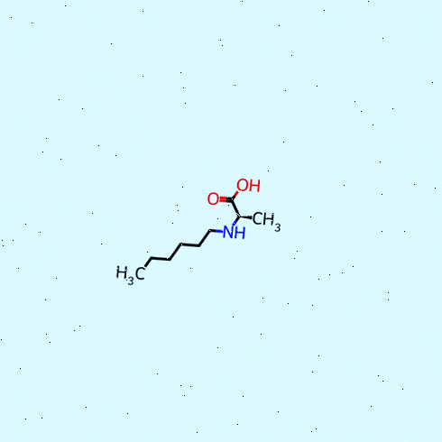 CCCCCCN[C@H](C)C(=O)O